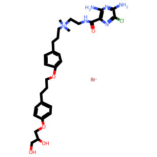 C[N+](C)(CCCc1ccc(OCCCc2ccc(OCC(O)CO)cc2)cc1)CCNC(=O)c1nc(Cl)c(N)nc1N.[Br-]